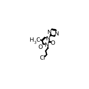 Cc1cn(-c2cnccn2)c(=O)n(CCCCl)c1=O